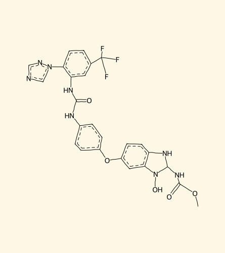 COC(=O)NC1Nc2ccc(Oc3ccc(NC(=O)Nc4cc(C(F)(F)F)ccc4-n4cncn4)cc3)cc2N1O